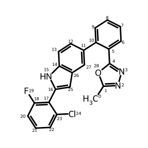 Cc1nnc(-c2ccccc2-c2ccc3[nH]c(-c4c(F)cccc4Cl)cc3c2)o1